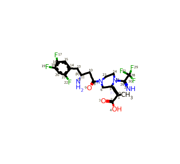 C/C(C(=O)O)=C1/CN(C(=O)C[C@H](N)Cc2cc(F)c(F)cc2F)CCN1C(=N)C(F)(F)F